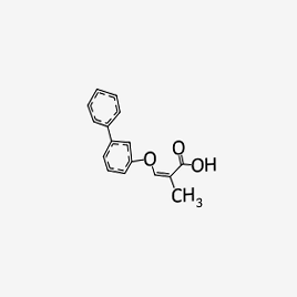 CC(=COc1cccc(-c2ccccc2)c1)C(=O)O